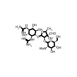 CN[C@@H]1C(O[C@H]2C(O[C@H]3[C@H](O)[C@@H](O)[C@H](NC(=N)N)[C@@H](O)[C@@H]3NC(=N)N)O[C@@H](C)[C@]2(O)C=O)O[C@@H](CO)[C@H](O)[C@H]1O